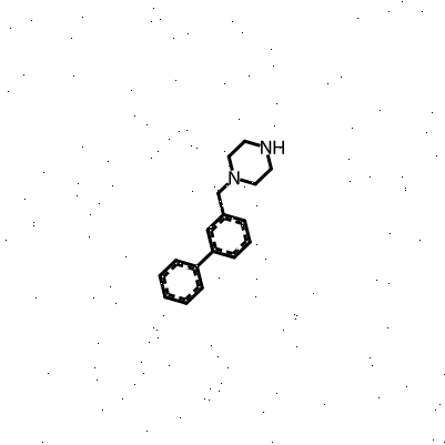 c1ccc(-c2cccc(CN3CCNCC3)c2)cc1